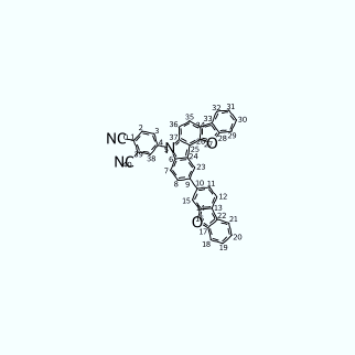 N#Cc1ccc(-n2c3ccc(-c4ccc5c(c4)oc4ccccc45)cc3c3c4oc5ccccc5c4ccc32)cc1C#N